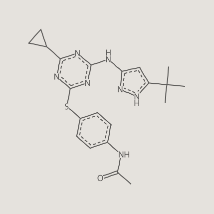 CC(=O)Nc1ccc(Sc2nc(Nc3cc(C(C)(C)C)[nH]n3)nc(C3CC3)n2)cc1